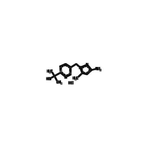 Cc1cc(N)nn1Cc1ccc(C(C)(C)O)nc1.Cl